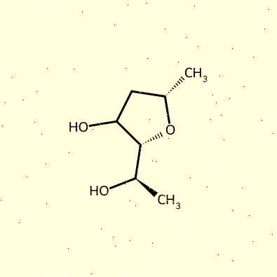 C[C@H]1CC(O)[C@@H]([C@@H](C)O)O1